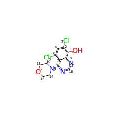 Oc1c(Cl)cc(Cl)c2c(N3CCOCC3)ncnc12